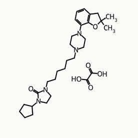 CC1(C)Cc2cccc(N3CCN(CCCCCCN4CCN(C5CCCC5)C4=O)CC3)c2O1.O=C(O)C(=O)O